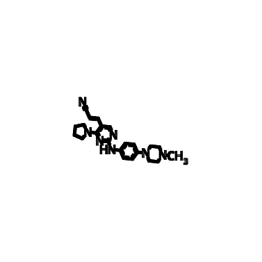 CN1CCN(c2ccc(Nc3ncc(/C=C/C#N)c(N4CCCC4)n3)cc2)CC1